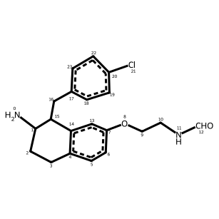 NC1CCc2ccc(OCCNC=O)cc2C1Cc1ccc(Cl)cc1